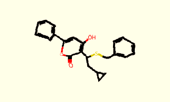 O=c1oc(-c2ccccc2)cc(O)c1C(CC1CC1)SCc1ccccc1